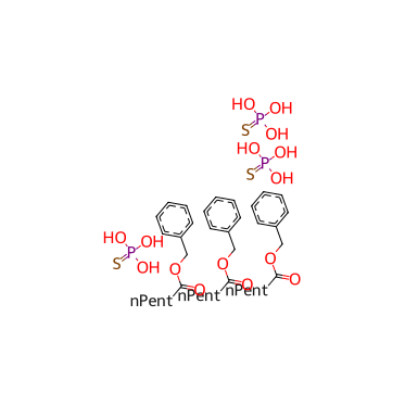 CCCCCC(=O)OCc1ccccc1.CCCCCC(=O)OCc1ccccc1.CCCCCC(=O)OCc1ccccc1.OP(O)(O)=S.OP(O)(O)=S.OP(O)(O)=S